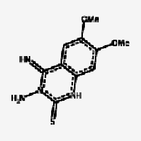 COc1cc2[nH]c(=S)n(N)c(=N)c2cc1OC